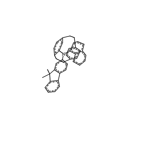 CC1(C)c2ccccc2-c2ccc(N(c3cc4ccc3CCc3ccc(cc3)CC4)c3cccc4ccccc34)cc21